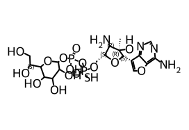 C[C@@]1(O)[C@H](N)[C@@H](COP(=O)(S)OP(=O)(O)OC2OC([C@@H](O)CO)C(O)C(O)C2O)O[C@H]1c1coc2c(N)ncnc12